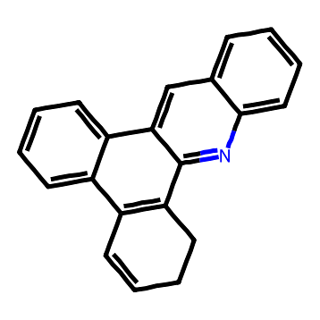 C1=Cc2c(c3nc4ccccc4cc3c3ccccc23)CC1